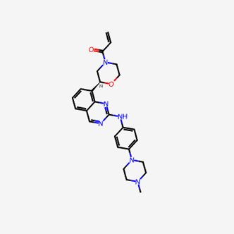 C=CC(=O)N1CCO[C@@H](c2cccc3cnc(Nc4ccc(N5CCN(C)CC5)cc4)nc23)C1